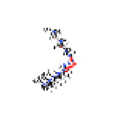 CCCC[N+](C)(CC)CCC.CCCC[N+](C)(CC)CCC.CCCC[N+](C)(CC)CCC.CCCC[N+](C)(CC)CCC.CCCC[N+](C)(CC)CCC.CCCC[N+](C)(CC)CCC.CCCC[N+](C)(CC)CCC.CCCC[N+](C)(CC)CCC.N#CB([O-])[O-].N#CB([O-])[O-].N#CB([O-])[O-].N#CB([O-])[O-]